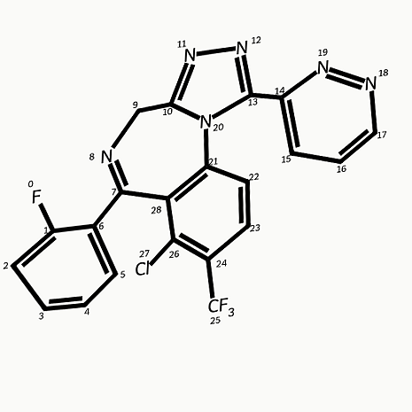 Fc1ccccc1C1=NCc2nnc(-c3cccnn3)n2-c2ccc(C(F)(F)F)c(Cl)c21